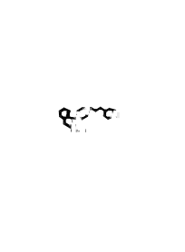 Cl.Cl.c1ccc2c(N3CCN(CCCC4CCNCC4)CC3)nccc2c1